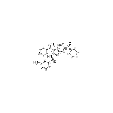 CC(c1ccncc1)n1c(NC(=O)c2cccc(N)c2)nc2cc(C(=O)N3CCCCC3)cnc21